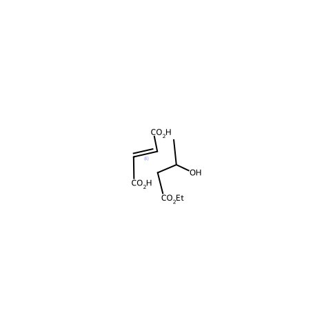 CCOC(=O)CC(C)O.O=C(O)/C=C/C(=O)O